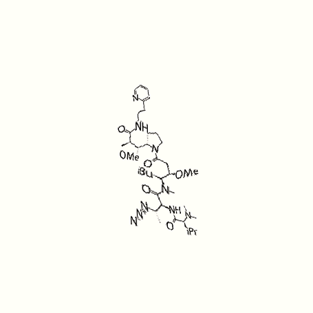 CC[C@H](C)[C@@H]([C@@H](CC(=O)N1CCC[C@H]1[C@H](OC)[C@@H](C)C(=O)NCCc1ccccn1)OC)N(C)C(=O)[C@@H](NC(=O)[C@H](C(C)C)N(C)C)[C@H](C)N=[N+]=[N-]